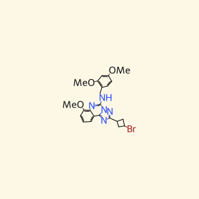 COc1ccc(CNc2nc3c(OC)cccc3c3nc(C4CC(Br)C4)nn23)c(OC)c1